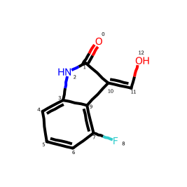 O=C1Nc2cccc(F)c2C1=CO